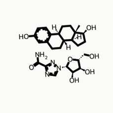 C[C@]12CC[C@@H]3c4ccc(O)cc4CC[C@H]3[C@@H]1CC[C@@H]2O.NC(=O)c1ncn([C@@H]2O[C@H](CO)[C@@H](O)[C@H]2O)n1